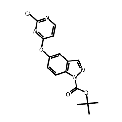 CC(C)(C)OC(=O)n1ncc2cc(Oc3ccnc(Cl)n3)ccc21